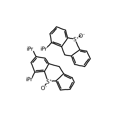 CC(C)c1cc2c(c(C(C)C)c1)[S+]([O-])c1ccccc1C2.CC(C)c1cccc2c1Cc1ccccc1[S+]2[O-]